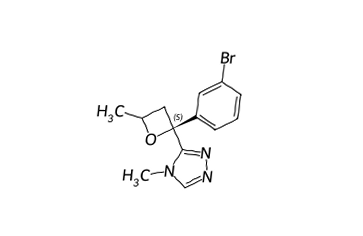 CC1C[C@](c2cccc(Br)c2)(c2nncn2C)O1